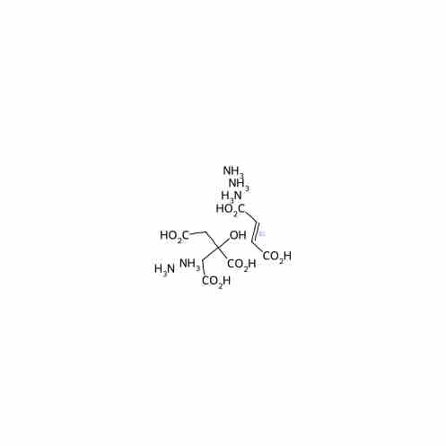 N.N.N.N.N.O=C(O)/C=C/C(=O)O.O=C(O)CC(O)(CC(=O)O)C(=O)O